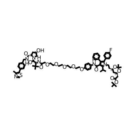 Cc1ncsc1-c1ccc(CNC(=O)[C@@H]2C[C@@H](O)CN2C(=O)[C@@H](NC(=O)COCCOCCOCCOCCOc2ccc(NC(=O)c3c(-c4ccccc4)c(-c4ccc(F)cc4)n(CC[C@@H]4C[C@H](CC(=O)OC(C)(C)C)OC(C)(C)O4)c3C(C)C)cc2)C(C)(C)C)cc1